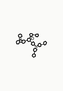 c1ccc(-c2ccc(N(c3ccc(-c4ccccc4)cc3)c3ccc(-c4cc(-c5ccc6c7ccccc7n(-c7ccccc7)c6c5)cc5c4oc4c(-c6ccccc6)cccc45)cc3)cc2)cc1